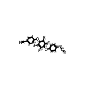 N#Cc1ccc(Oc2c(F)c(F)c(Oc3ccc(N=C=O)cc3)c(F)c2F)cc1